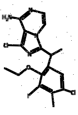 CCOc1c(C(C)c2nc(Cl)c3c(N)nccn23)cc(Cl)c(C)c1I